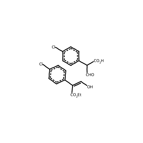 CCOC(=O)C(=CO)c1ccc(Cl)cc1.O=CC(C(=O)O)c1ccc(Cl)cc1